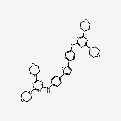 c1cc(-c2ccc(-c3ccc(Nc4nc(N5CCOCC5)nc(N5CCOCC5)n4)cc3)o2)ccc1Nc1nc(N2CCOCC2)nc(N2CCOCC2)n1